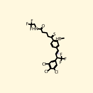 CBc1cc(/C=C/C(c2cc(Cl)c(Cl)c(Cl)c2)C(F)(F)F)ccc1C(=S)CCCC(=O)NCC(F)(F)F